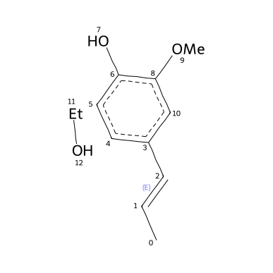 C/C=C/c1ccc(O)c(OC)c1.CCO